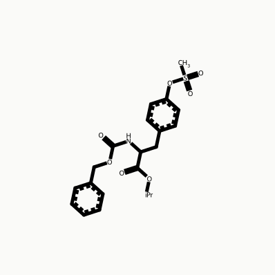 CC(C)OC(=O)C(Cc1ccc(OS(C)(=O)=O)cc1)NC(=O)OCc1ccccc1